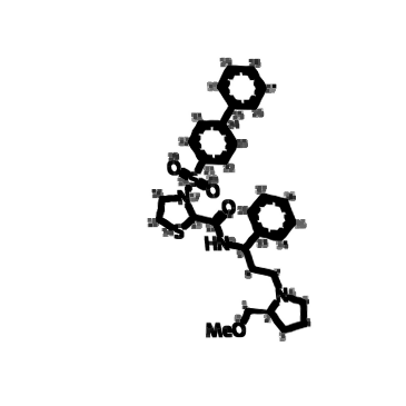 COC[C@@H]1CCCN1CCC(NC(=O)C1SCCN1S(=O)(=O)c1ccc(-c2ccccc2)cc1)c1ccccc1